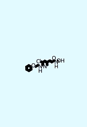 O=C(/C=C/c1cnc(NCCOc2ccccc2)c(Cl)c1)NO